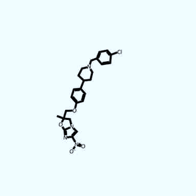 CC1(COc2ccc(C3CCN(Cc4ccc(Cl)cc4)CC3)cc2)Cn2cc([N+](=O)[O-])nc2O1